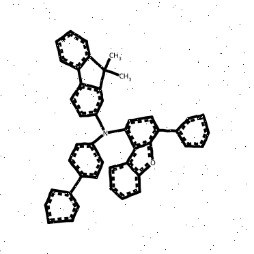 CC1(C)c2ccccc2-c2ccc(N(c3ccc(-c4ccccc4)cc3)c3ccc(-c4ccccc4)c4oc5ccccc5c34)cc21